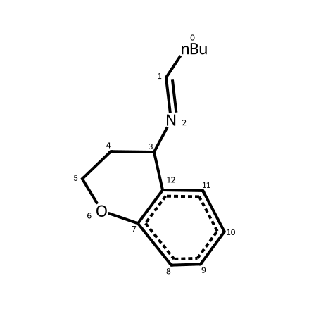 CCCCC=NC1CCOc2ccccc21